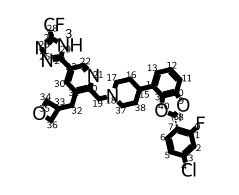 Fc1cc(Cl)ccc1[C@H]1Oc2cccc(C3CCN(Cc4ncc(-c5nnc(C(F)(F)F)[nH]5)cc4CC4COC4)CC3)c2O1